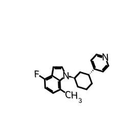 Cc1ccc(F)c2ccn([C@@H]3CCC[C@@H](c4ccncc4)C3)c12